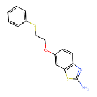 Nc1nc2ccc(OCCSc3ccccc3)cc2s1